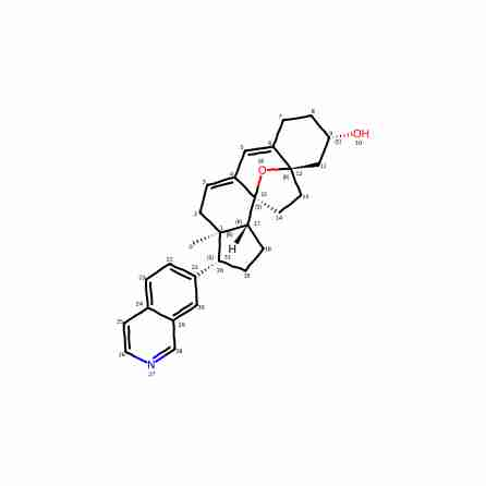 C[C@]12CC=C3C=C4CC[C@H](O)C[C@]45CC[C@]3(O5)[C@@H]1CC[C@@H]2c1ccc2ccncc2c1